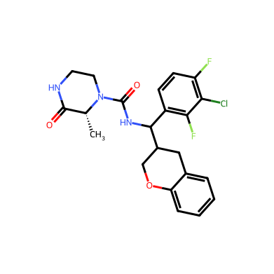 C[C@@H]1C(=O)NCCN1C(=O)NC(c1ccc(F)c(Cl)c1F)C1COc2ccccc2C1